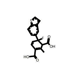 CC1=C(C(=O)O)C=CC(F)(c2ccc3sccc3c2)C1C(=O)O